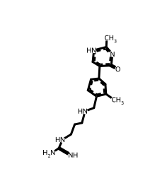 Cc1nc(=O)c(-c2ccc(CNCCCNC(=N)N)c(C)c2)c[nH]1